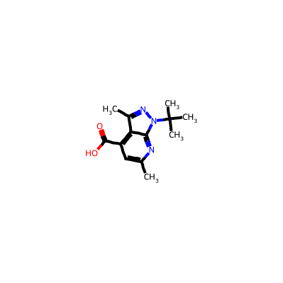 Cc1cc(C(=O)O)c2c(C)nn(C(C)(C)C)c2n1